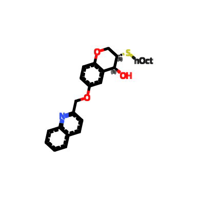 CCCCCCCCS[C@H]1COc2ccc(OCc3ccc4ccccc4n3)cc2[C@@H]1O